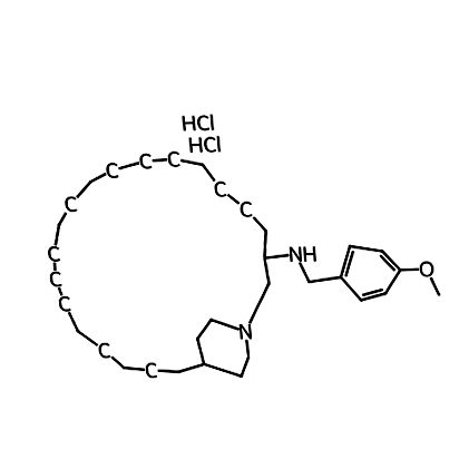 COc1ccc(CNC2CCCCCCCCCCCCCCCCCCC3CCN(CC3)C2)cc1.Cl.Cl